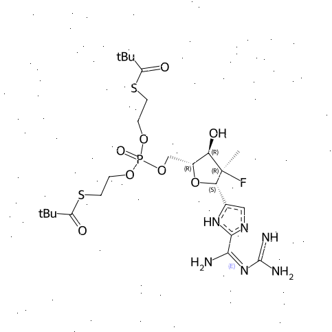 CC(C)(C)C(=O)SCCOP(=O)(OCCSC(=O)C(C)(C)C)OC[C@H]1O[C@@H](c2cnc(/C(N)=N\C(=N)N)[nH]2)[C@](C)(F)[C@@H]1O